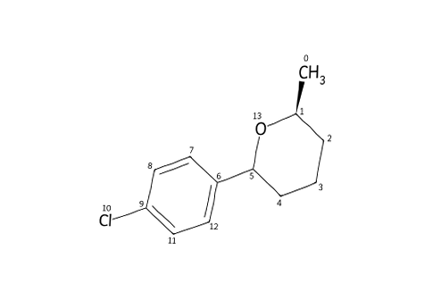 C[C@H]1CCCC(c2ccc(Cl)cc2)O1